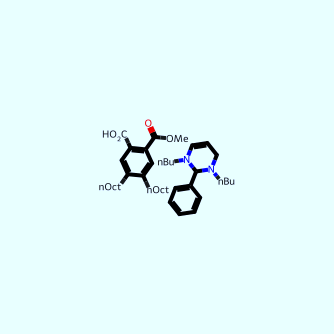 CCCCCCCCc1cc(C(=O)O)c(C(=O)OC)cc1CCCCCCCC.CCCCN1C=CCN(CCCC)C1c1ccccc1